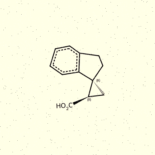 O=C(O)[C@@H]1C[C@]12CCc1ccccc12